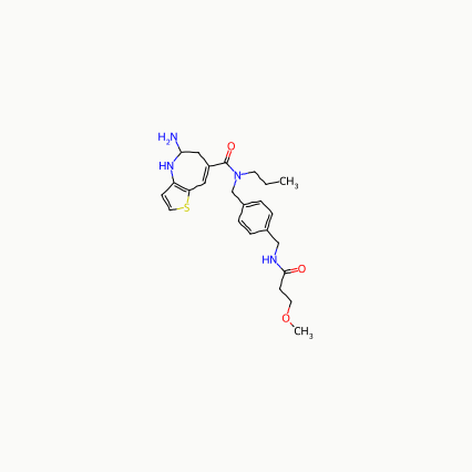 CCCN(Cc1ccc(CNC(=O)CCOC)cc1)C(=O)C1=Cc2sccc2NC(N)C1